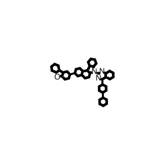 c1ccc(-c2ccc(-c3nc(-n4c5ccccc5c5c6ccc(-c7ccc8oc9ccccc9c8c7)cc6ccc54)nc4ccccc34)cc2)cc1